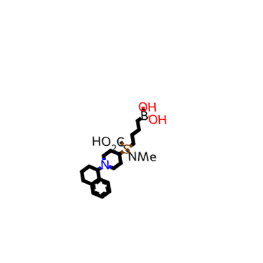 CNS(CCCCB(O)O)(C(=O)O)C1CCN(C2CCCc3ccccc32)CC1